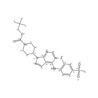 CC(C)(C)COC(=O)N1CCC(n2ncc3c(Nc4ccc(S(C)(=O)=O)cc4F)ncnc32)CC1